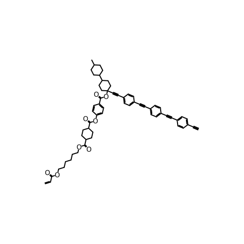 C#Cc1ccc(C#Cc2ccc(C#Cc3ccc(C#CC4(OC(=O)c5ccc(OC(=O)C6CCC(C(=O)OCCCCCCOC(=O)C=C)CC6)cc5)CCC(C5CCC(C)CC5)CC4)cc3)cc2)cc1